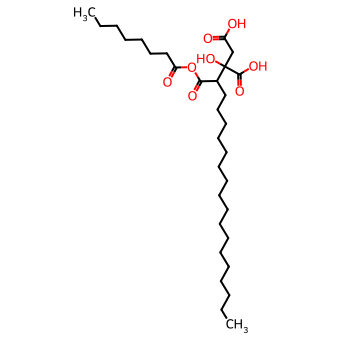 CCCCCCCCCCCCCCCCCC(C(=O)OC(=O)CCCCCCC)C(O)(CC(=O)O)C(=O)O